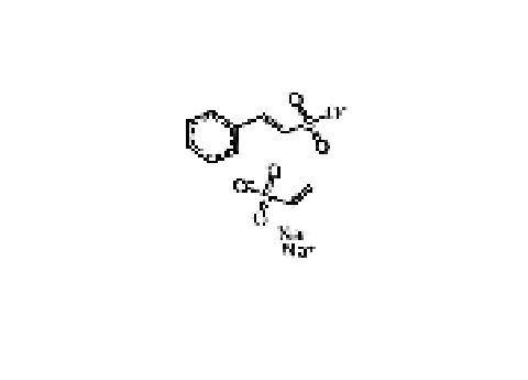 C=CS(=O)(=O)[O-].O=S(=O)([O-])C=Cc1ccccc1.[Na+].[Na+]